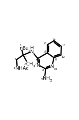 CCCCC(C)(CNC(C)=O)Nc1nc(N)nc2ccccc12